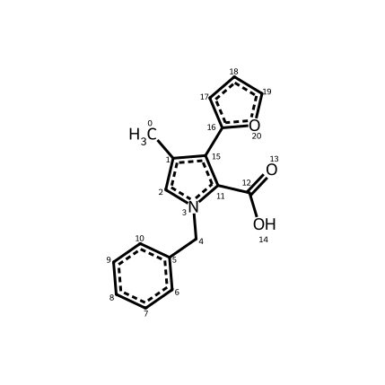 Cc1cn(Cc2ccccc2)c(C(=O)O)c1-c1ccco1